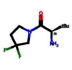 CC(C)(C)[C@@H](N)C(=O)N1CCC(F)(F)C1